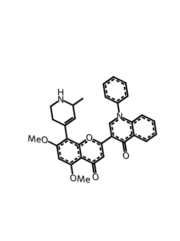 COc1cc(OC)c2c(=O)cc(-c3cn(-c4ccccc4)c4ccccc4c3=O)oc2c1C1=CC(C)NCC1